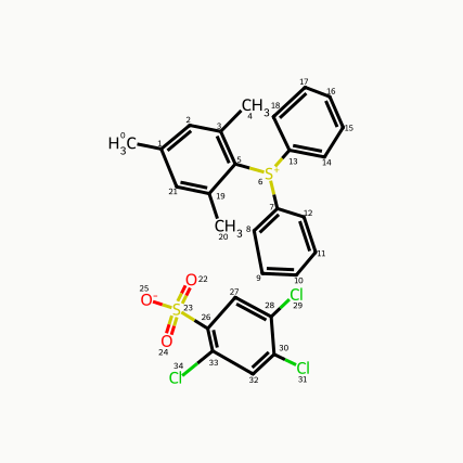 Cc1cc(C)c([S+](c2ccccc2)c2ccccc2)c(C)c1.O=S(=O)([O-])c1cc(Cl)c(Cl)cc1Cl